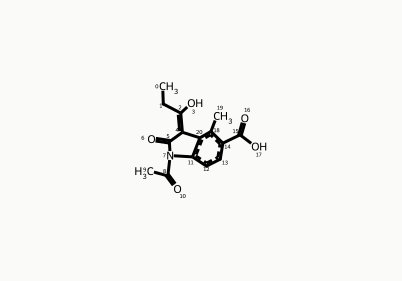 CCC(O)=C1C(=O)N(C(C)=O)c2ccc(C(=O)O)c(C)c21